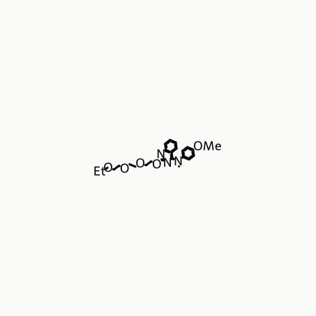 CCOCCOCCOCCOc1nc(N(C)c2ccc(OC)cc2)c2ccccc2n1